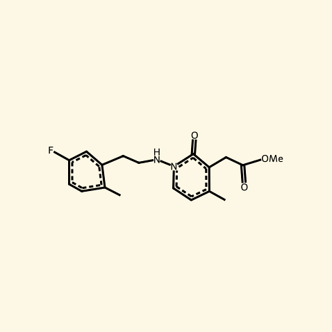 COC(=O)Cc1c(C)ccn(NCCc2cc(F)ccc2C)c1=O